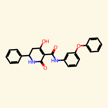 O=C(Nc1cccc(Oc2ccccc2)c1)C1=C(O)CC(c2ccccc2)NC1=O